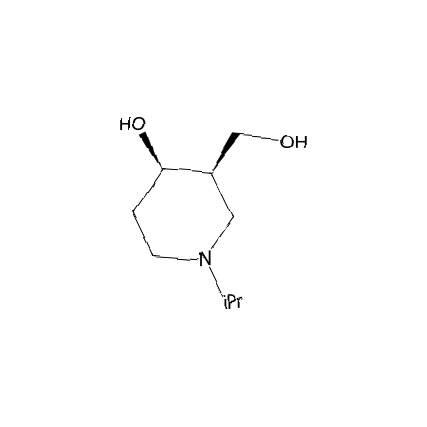 CC(C)N1CC[C@@H](O)[C@@H](CO)C1